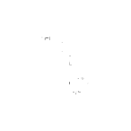 CCCCCCCCCCOC(=O)OCCC